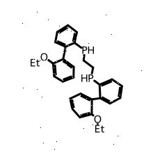 CCOc1ccccc1-c1ccccc1PCCPc1ccccc1-c1ccccc1OCC